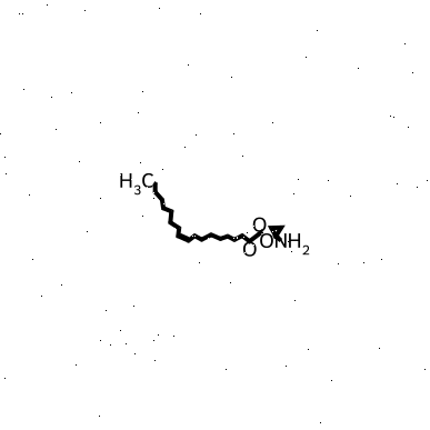 CCCCCCCC/C=C\CCCCCCCC(=O)C(=O)OC1(N)CC1